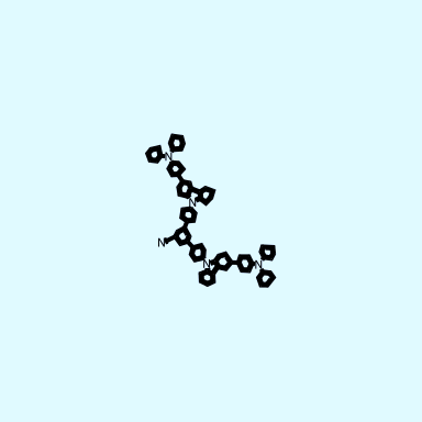 N#Cc1cc(-c2ccc(-n3c4ccccc4c4cc(-c5ccc(N(c6ccccc6)c6ccccc6)cc5)ccc43)cc2)cc(-c2ccc(-n3c4ccccc4c4cc(-c5ccc(N(c6ccccc6)c6ccccc6)cc5)ccc43)cc2)c1